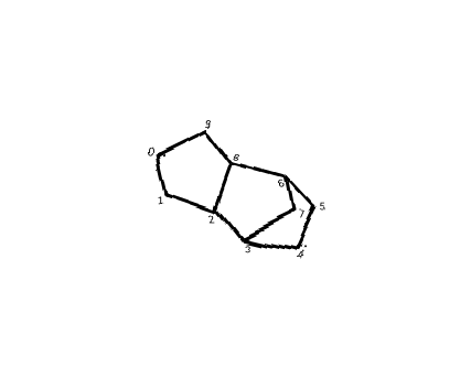 [CH]1CC2C3[CH]CC(C3)C2C1